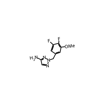 COc1cc(Cn2ncc(N)n2)cc(F)c1F